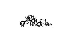 COc1ccc(Nc2nccc(-c3sc(-c4cccnc4)nc3C)n2)cc1C